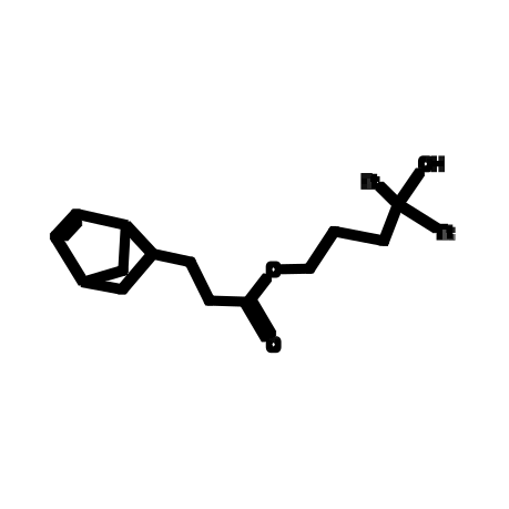 CCC(O)(CC)CCCOC(=O)CCC1CC2C=CC1C2